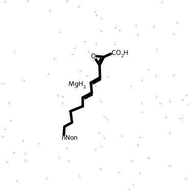 CCCCCCCCCCCCCC=CC=CC1=C(C(=O)O)O1.[MgH2]